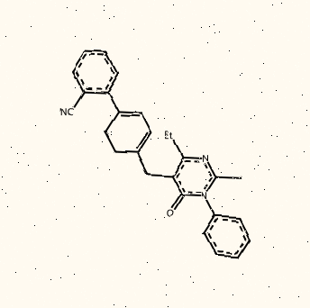 CCc1nc(C)n(-c2ccccc2)c(=O)c1CC1=CC=C(c2ccccc2C#N)CC1